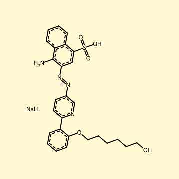 Nc1c(/N=N/c2ccc(-c3ccccc3OCCCCCCO)nc2)cc(S(=O)(=O)O)c2ccccc12.[NaH]